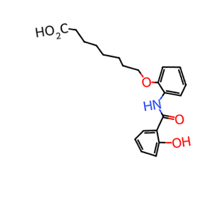 O=C(O)CCCCCCCOc1ccccc1NC(=O)c1ccccc1O